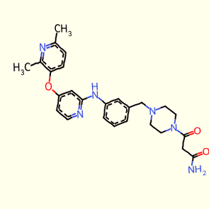 Cc1ccc(Oc2ccnc(Nc3cccc(CN4CCN(C(=O)CC(N)=O)CC4)c3)c2)c(C)n1